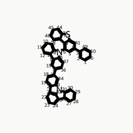 c1ccc(-c2cc(-n3c4ccccc4c4cc(-c5ccc6c7cccc8c9ccccc9n(c6c5)c87)ccc43)c3c(c2)sc2ccccc23)cc1